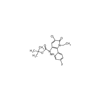 CCn1c(-c2ccc(F)cc2)c(N(N)C(=O)OC(C)(C)C)cc(Cl)c1=O